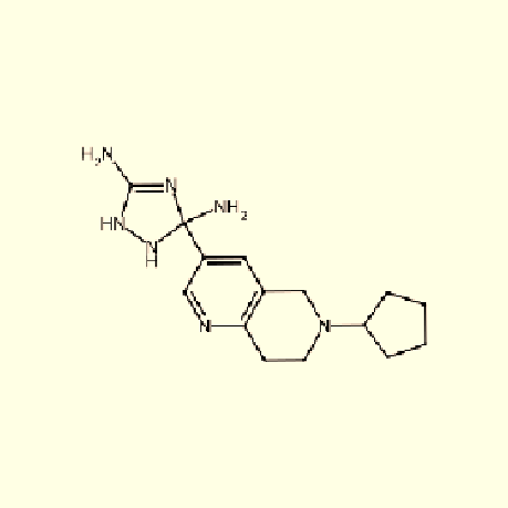 NC1=NC(N)(c2cnc3c(c2)CN(C2CCCC2)CC3)NN1